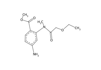 CCOCC(=O)N(C)c1cc(N)ccc1C(=O)OC